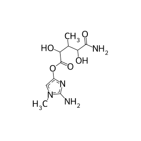 CC(C(O)C(N)=O)C(O)C(=O)Oc1cn(C)c(N)n1